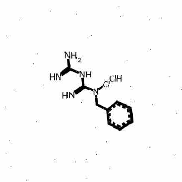 Cl.N=C(N)NC(=N)N(Cl)Cc1ccccc1